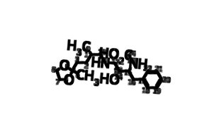 CC(CCC1(C)OCCO1)CNC[C@@H](O)C(Cc1ccccc1)NC(=O)O